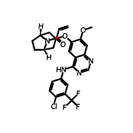 C=CC(=O)N1[C@@H]2CC[C@H]1CC(Oc1cc3c(Nc4ccc(Cl)c(C(F)(F)F)c4)ncnc3cc1OC)C2